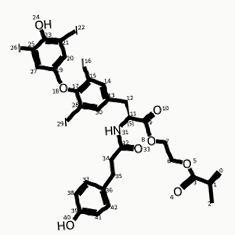 C=C(C)C(=O)OCCOC(=O)[C@H](Cc1cc(I)c(Oc2cc(I)c(O)c(I)c2)c(I)c1)NC(=O)CCc1ccc(O)cc1